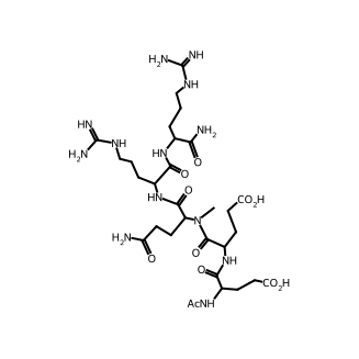 CC(=O)NC(CCC(=O)O)C(=O)NC(CCC(=O)O)C(=O)N(C)C(CCC(N)=O)C(=O)NC(CCCNC(=N)N)C(=O)NC(CCCNC(=N)N)C(N)=O